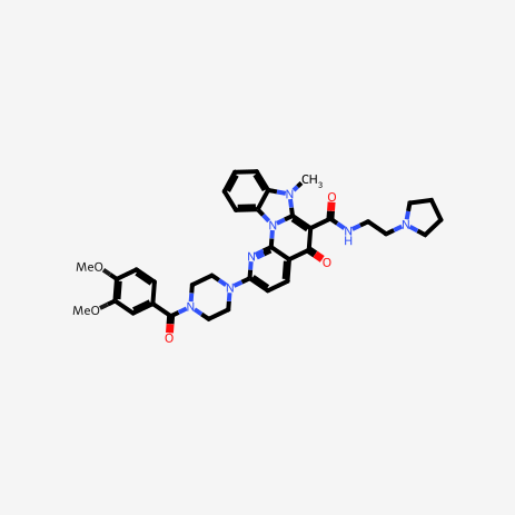 COc1ccc(C(=O)N2CCN(c3ccc4c(=O)c(C(=O)NCCN5CCCC5)c5n(C)c6ccccc6n5c4n3)CC2)cc1OC